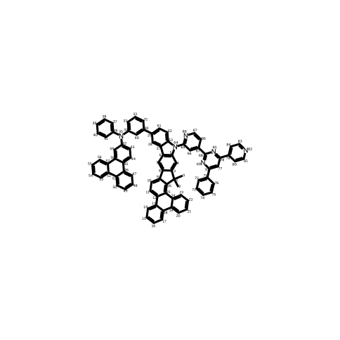 CC1(C)c2cc3c(cc2-c2ccc4c5ccccc5c5ccccc5c4c21)c1cc(-c2cccc(N(c4ccccc4)c4ccc5c6ccccc6c6ccccc6c5c4)c2)ccc1n3-c1cc(-c2nc(-c3ccccc3)cc(-c3ccncc3)n2)ccn1